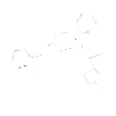 Cc1ccccc1CCN1CCC(CNC(=O)c2cn(C)cn2)(c2ccccc2)CC1